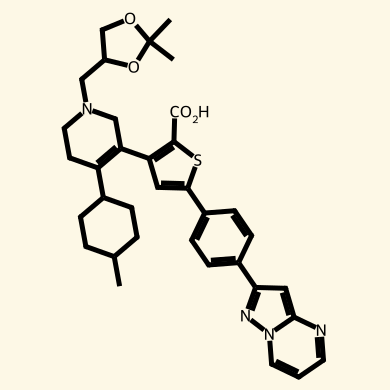 CC1CCC(C2=C(c3cc(-c4ccc(-c5cc6ncccn6n5)cc4)sc3C(=O)O)CN(CC3COC(C)(C)O3)CC2)CC1